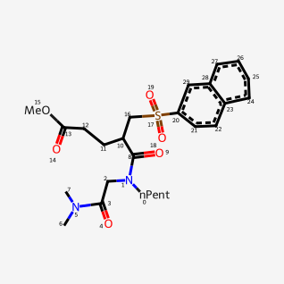 CCCCCN(CC(=O)N(C)C)C(=O)C(CCC(=O)OC)CS(=O)(=O)c1ccc2ccccc2c1